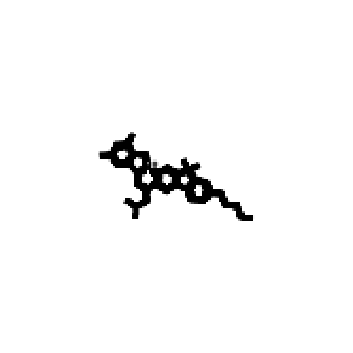 CCCCCc1ccc2c(c1)C(C)(C)c1cc3c(cc1-2)c(CC(C)C)cc1[n+]3Cc2c(C)cc(C)cc2-1